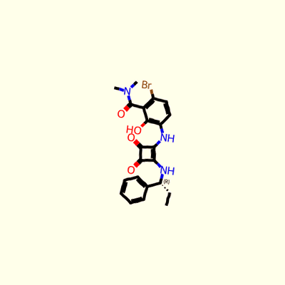 CC[C@@H](Nc1c(Nc2ccc(Br)c(C(=O)N(C)C)c2O)c(=O)c1=O)c1ccccc1